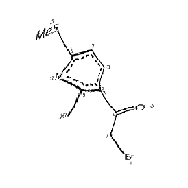 CSc1ccc(C(=O)CBr)c(C)n1